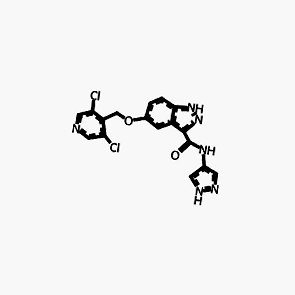 O=C(Nc1cn[nH]c1)c1n[nH]c2ccc(OCc3c(Cl)cncc3Cl)cc12